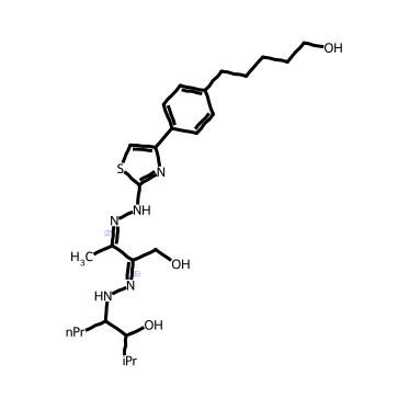 CCCC(N/N=C(CO)\C(C)=N/Nc1nc(-c2ccc(CCCCCO)cc2)cs1)C(O)C(C)C